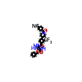 N#Cc1ccc(C(=O)N2CCC(c3ccc(C(=O)NC(=N)NC(=O)OCc4ccccc4)cc3C(F)(F)F)CC2)cc1